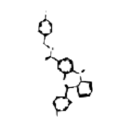 CN1c2ccc(C(=O)NCc3ccc(F)cc3)cc2N=C(c2ccc(F)cc2)C2C=CC=CC21